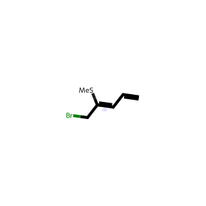 C=C/C=C(/CBr)SC